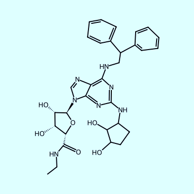 CCNC(=O)[C@H]1O[C@H](n2cnc3c(NCC(c4ccccc4)c4ccccc4)nc(NC4CCC(O)C4O)nc32)[C@@H](O)[C@H]1O